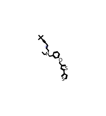 CCN(C/C=C/C#CC(C)(C)C)Cc1cccc(OCc2csc(-c3ccsc3)c2)c1